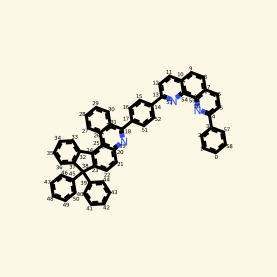 c1ccc(-c2ccc3ccc4ccc(-c5ccc(-c6nc7ccc8c(c7c7ccccc67)-c6ccccc6C8(c6ccccc6)c6ccccc6)cc5)nc4c3n2)cc1